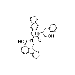 O=C(N[C@H](CO)Cc1ccccc1)[C@H](Cc1ccc2ccccc2c1)N(CC1c2ccccc2-c2ccccc21)C(=O)O